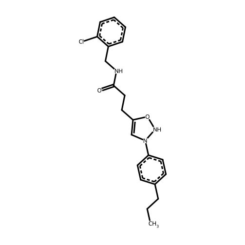 CCCc1ccc(N2C=C(CCC(=O)NCc3ccccc3Cl)ON2)cc1